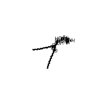 CCCCCCCCCCCCCCCC(=O)OCC(COP(=O)(O)OC[C@H]1O[C@@H](n2cnc3c(NC)nc(C)nc32)[C@](C)(F)[C@@H]1O)OC(=O)CCCCCCCCCCCCCCC